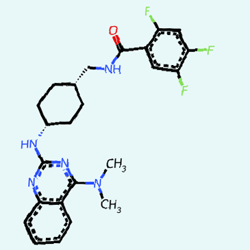 CN(C)c1nc(N[C@H]2CC[C@@H](CNC(=O)c3cc(F)c(F)cc3F)CC2)nc2ccccc12